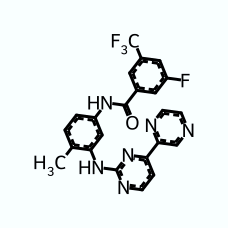 Cc1ccc(NC(=O)c2cc(F)cc(C(F)(F)F)c2)cc1Nc1nccc(-c2cnccn2)n1